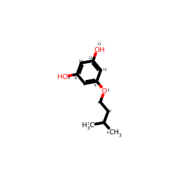 CC(C)CCOc1cc(O)cc(O)c1